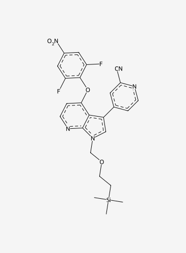 C[Si](C)(C)CCOCn1cc(-c2ccnc(C#N)c2)c2c(Oc3c(F)cc([N+](=O)[O-])cc3F)ccnc21